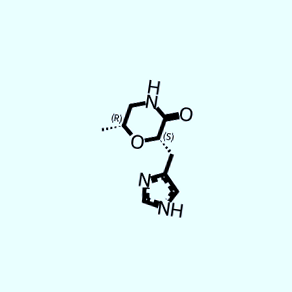 C[C@@H]1CNC(=O)[C@H](Cc2c[nH]cn2)O1